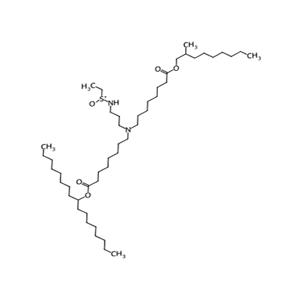 CCCCCCCCC(CCCCCCCC)OC(=O)CCCCCCCN(CCCCCCCC(=O)OCC(C)CCCCCCC)CCCN[S+]([O-])CC